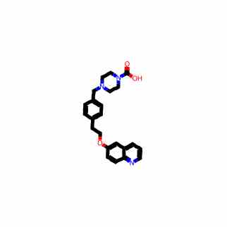 O=C(O)N1CCN(Cc2ccc(CCOc3ccc4ncccc4c3)cc2)CC1